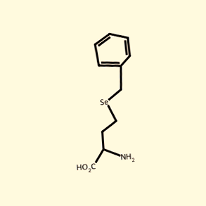 NC(CC[Se]Cc1ccccc1)C(=O)O